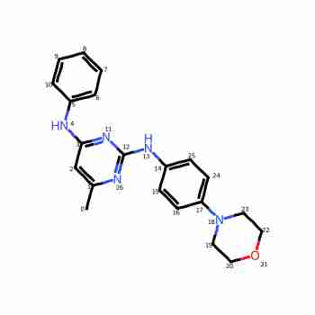 Cc1cc(Nc2ccccc2)nc(Nc2ccc(N3CCOCC3)cc2)n1